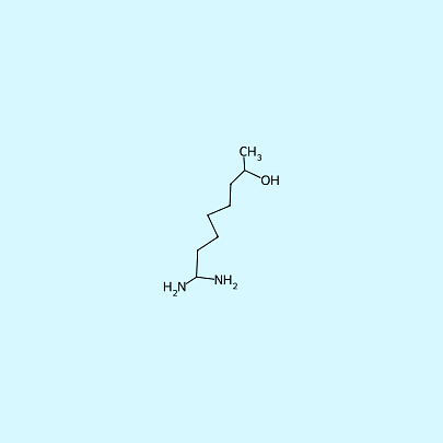 CC(O)CCCCCC(N)N